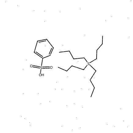 CCCCS(CCCC)(CCCC)CCCC.O=S(=O)(O)c1ccccc1